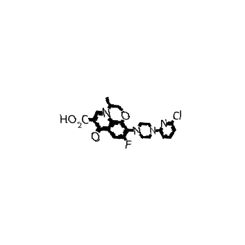 CC1COc2c(N3CCN(c4cccc(Cl)n4)CC3)c(F)cc3c(=O)c(C(=O)O)cn1c23